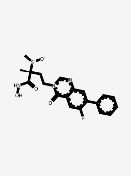 C[S+]([O-])[C@](C)(CCn1cnc2cc(-c3ccccc3)c(F)cc2c1=O)C(=O)NO